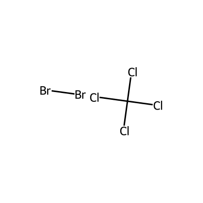 BrBr.ClC(Cl)(Cl)Cl